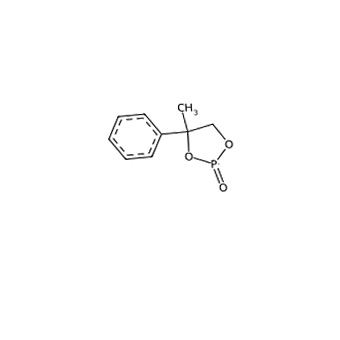 CC1(c2ccccc2)CO[P](=O)O1